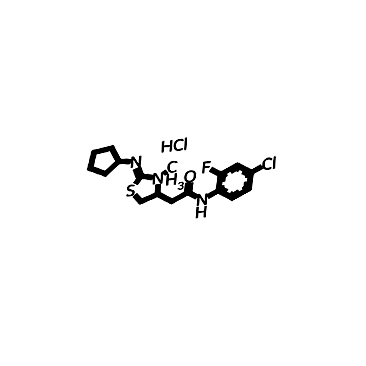 CN1/C(=N/C2CCCC2)SCC1CC(=O)Nc1ccc(Cl)cc1F.Cl